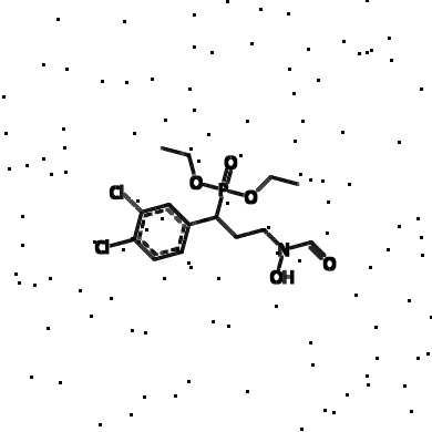 CCOP(=O)(OCC)C(CCN(O)C=O)c1ccc(Cl)c(Cl)c1